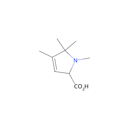 CC1=CC(C(=O)O)N(C)C1(C)C